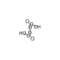 OCCOC(COCCOCC(OCCO)c1ccccc1)c1ccccc1